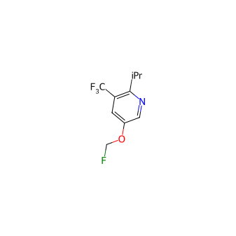 CC(C)c1ncc(OCF)cc1C(F)(F)F